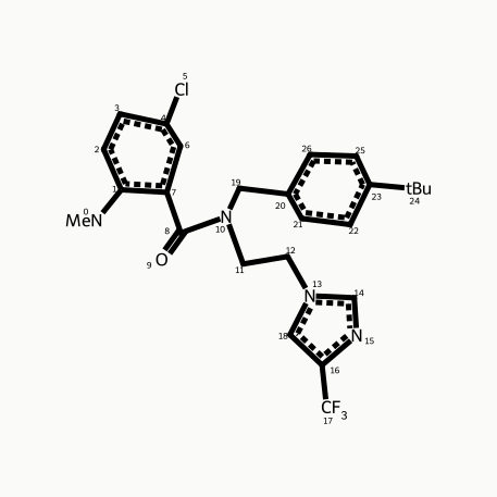 CNc1ccc(Cl)cc1C(=O)N(CCn1cnc(C(F)(F)F)c1)Cc1ccc(C(C)(C)C)cc1